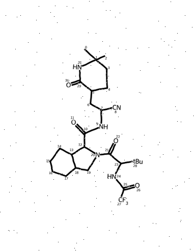 CC1(C)CCC(CC(C#N)NC(=O)C2C3CCCCC3CN2C(=O)C(NC(=O)C(F)(F)F)C(C)(C)C)C(=O)N1